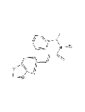 CCN(C(=O)/C=C/c1ccc2c(c1)OCO2)C(C)c1ccccc1